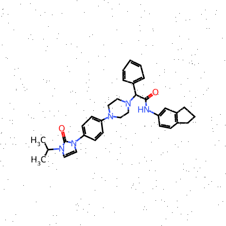 CC(C)n1ccn(-c2ccc(N3CCN(C(C(=O)Nc4ccc5c(c4)CCC5)c4ccccc4)CC3)cc2)c1=O